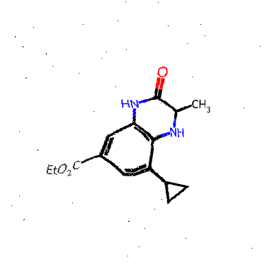 CCOC(=O)c1cc2c(c(C3CC3)c1)NC(C)C(=O)N2